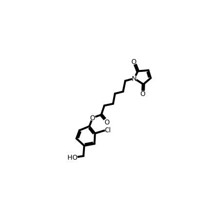 O=C(CCCCCN1C(=O)C=CC1=O)Oc1ccc(CO)cc1Cl